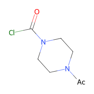 CC(=O)N1CCN(C(=O)Cl)CC1